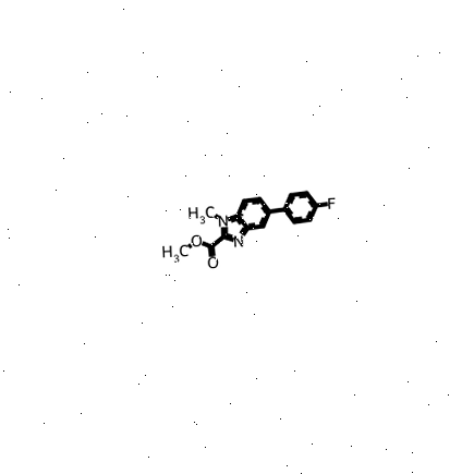 COC(=O)c1nc2cc(-c3ccc(F)cc3)ccc2n1C